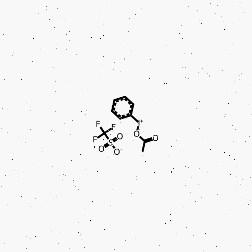 CC(=O)O[I+]c1ccccc1.O=S(=O)([O-])C(F)(F)F